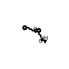 O=C(NCCCc1cccc2c1CC(CCCCc1ccccc1)O2)C1CC1